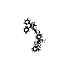 Cc1nc(-c2ccccc2)c(-c2ccccc2)n1CCCOc1ccc(NC(=O)Oc2ccccc2F)cc1